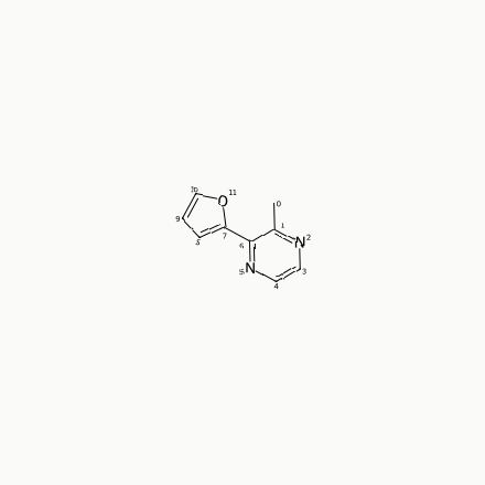 Cc1nccnc1-c1ccco1